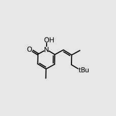 CC(=Cc1cc(C)cc(=O)n1O)CC(C)(C)C